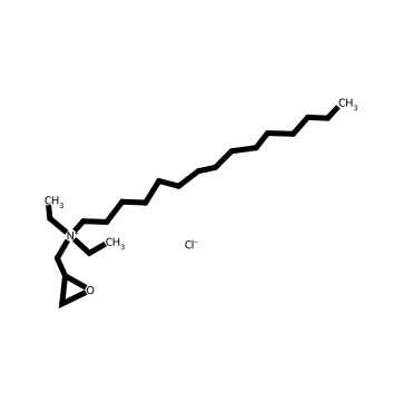 CCCCCCCCCCCCCCC[N+](CC)(CC)CC1CO1.[Cl-]